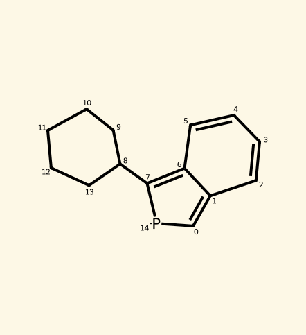 C1=c2ccccc2=C(C2CCCCC2)[P]1